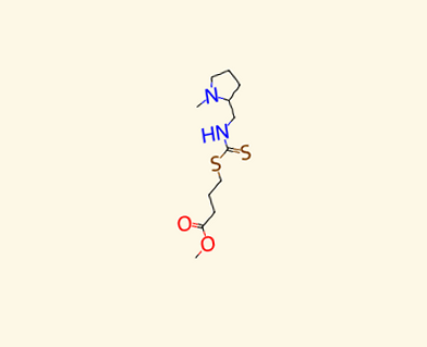 COC(=O)CCCSC(=S)NCC1CCCN1C